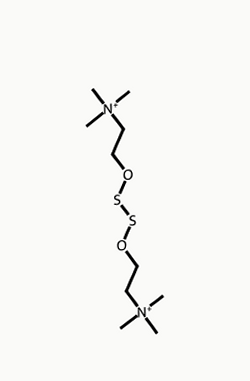 C[N+](C)(C)CCOSSOCC[N+](C)(C)C